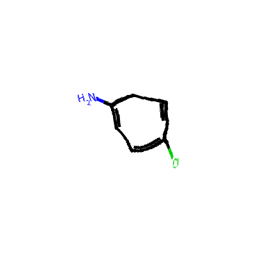 NC1=CC=C(Cl)C=CC1